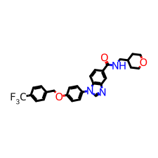 O=C(NCC1CCOCC1)c1ccc2c(c1)ncn2-c1ccc(OCc2ccc(C(F)(F)F)cc2)cc1